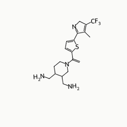 C=C(c1ccc(C2=NCC(C(F)(F)F)=C2C)s1)N1CCC(CN)C(CN)C1